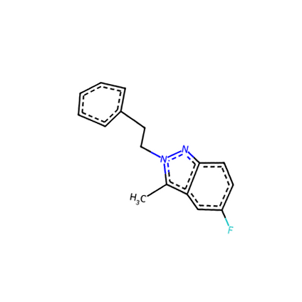 Cc1c2cc(F)ccc2nn1CCc1ccccc1